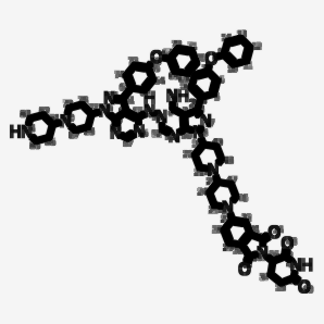 Nc1c2c(-c3ccc(Oc4ccccc4)cc3)nn(C3CCN(C4CCN(c5ccc6c(c5)C(=O)N(C5CCC(=O)NC5=O)C6=O)CC4)CC3)c2nc[n+]1Nc1ncnc2c1c(-c1ccc(Oc3ccccc3)cc1)nn2C1CCN(C2CCNCC2)CC1